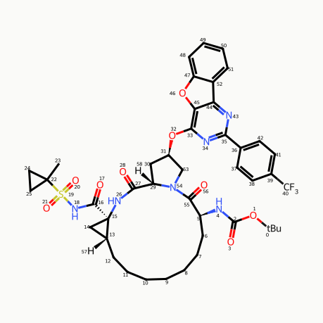 CC(C)(C)OC(=O)N[C@H]1CCCCCCC[C@@H]2C[C@@]2(C(=O)NS(=O)(=O)C2(C)CC2)NC(=O)[C@@H]2C[C@@H](Oc3nc(-c4ccc(C(F)(F)F)cc4)nc4c3oc3ccccc34)CN2C1=O